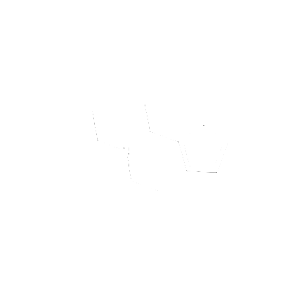 CC(C)N(C(C)C)C(C)C1=CC=CC1